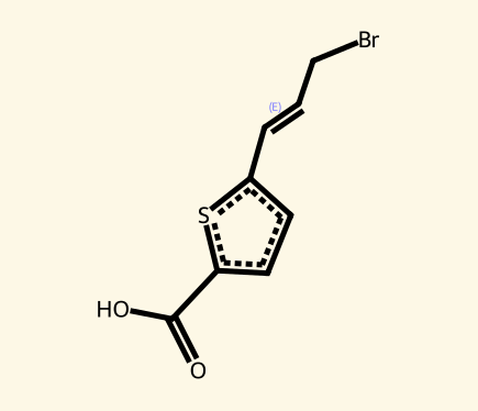 O=C(O)c1ccc(/C=C/CBr)s1